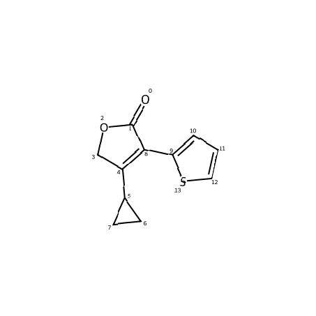 O=C1OCC(C2CC2)=C1c1cccs1